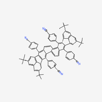 CC(C)(C)c1cc2c3c(cc(C(C)(C)C)cc3c1)-c1c-2c(-c2ccc(C#N)cc2)c2ccc3c(ccc4c(-c5ccc(C#N)cc5)c5c(c(-c6ccc(C#N)cc6)c43)-c3cc(C(C)(C)C)cc4cc(C(C)(C)C)cc-5c34)c2c1-c1ccc(C#N)cc1